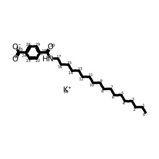 CCCCCCCCCCCCCCCCCCNC(=O)c1ccc(C(=O)[O-])cc1.[K+]